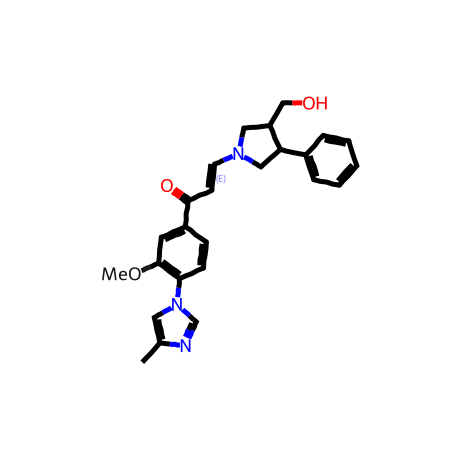 COc1cc(C(=O)/C=C/N2CC(CO)C(c3ccccc3)C2)ccc1-n1cnc(C)c1